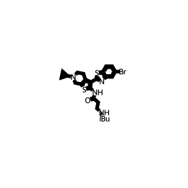 CC[C@H](C)NCCC(=O)Nc1sc2c(c1-c1nc3cc(Br)ccc3s1)CCN(C1CC1)C2